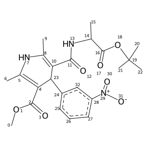 COC(=O)C1=C(C)NC(C)=C(C(=O)NC(C)C(=O)OC(C)(C)C)C1c1cccc([N+](=O)[O-])c1